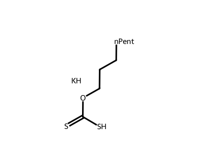 CCCCCCCCOC(=S)S.[KH]